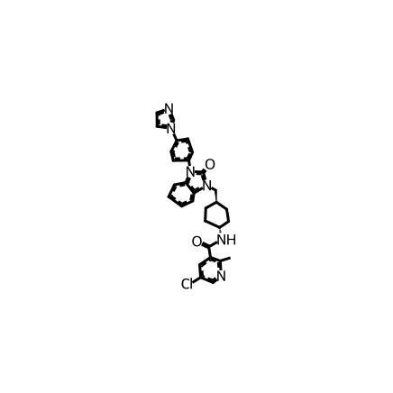 Cc1ncc(Cl)cc1C(=O)N[C@H]1CC[C@H](Cn2c(=O)n(-c3ccc(-n4ccnc4)cc3)c3ccccc32)CC1